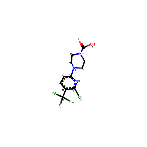 O=C(O)N1CCN(c2ccc(C(F)(F)F)c(Cl)n2)CC1